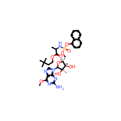 COc1nc(N)nc2c1ncn2C1O[C@H](COP(=O)(NC(C)C(=O)OCCC(C)(C)C)Oc2cccc3ccccc23)[C@@H](O)[C@@]1(C)O